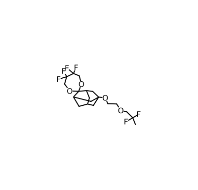 CC(F)(F)COCCOC12CC3CC(C1)C1(OCC(F)(F)C(F)(F)CO1)C(C3)C2